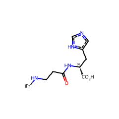 CC(C)NCCC(=O)N[C@@H](Cc1cnc[nH]1)C(=O)O